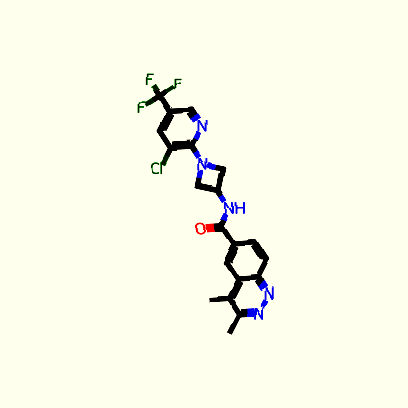 Cc1nnc2ccc(C(=O)NC3CN(c4ncc(C(F)(F)F)cc4Cl)C3)cc2c1C